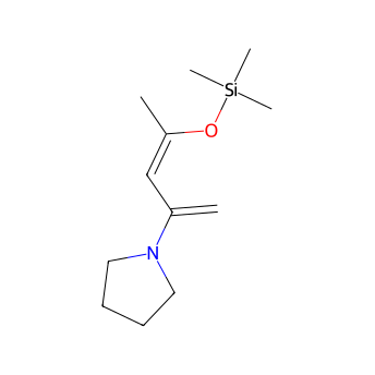 C=C(C=C(C)O[Si](C)(C)C)N1CCCC1